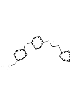 O=C(O)Cc1ccc(Sc2ccc(NCCc3ccccc3)cc2)cc1